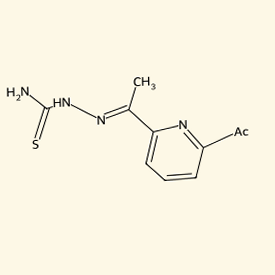 CC(=O)c1cccc(C(C)=NNC(N)=S)n1